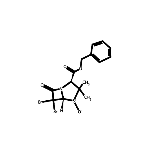 CC1(C)[C@H](C(=O)OCc2ccccc2)N2C(=O)C(Br)(Br)[C@H]2[S+]1[O-]